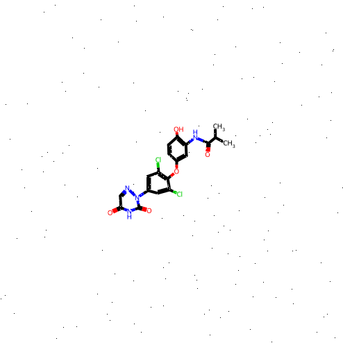 CC(C)C(=O)Nc1cc(Oc2c(Cl)cc(-n3ncc(=O)[nH]c3=O)cc2Cl)ccc1O